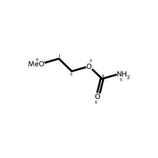 COCCOC(N)=O